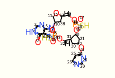 O=c1[nH]cnc2c1ncn2[C@]12CO[C@H](COP(=O)(S)OC3C[C@H](Oc4ccncn4)C[C@@H]3COP(=O)(S)O1)C2